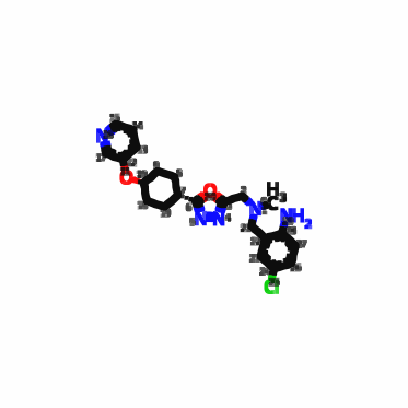 CN(Cc1nnc([C@H]2CC[C@H](Oc3cccnc3)CC2)o1)Cc1cc(Cl)ccc1N